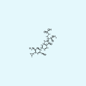 N#Cc1cc(C2CC2)c(N)nc1-c1ccc2c(c1)CN(C(CCC(=O)O)C(N)=O)C2=O